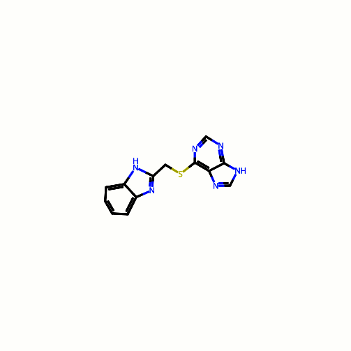 c1ccc2[nH]c(CSc3ncnc4[nH]cnc34)nc2c1